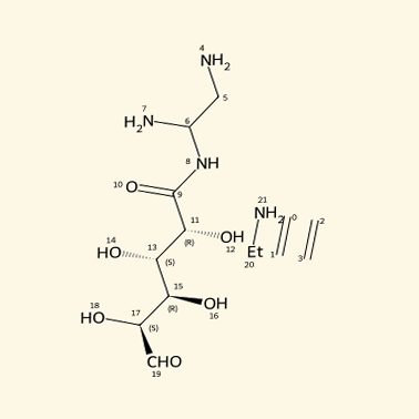 C=C.C=C.NCC(N)NC(=O)[C@H](O)[C@@H](O)[C@@H](O)[C@H](O)C=O.[CH2]CN